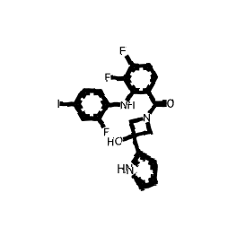 O=C(c1ccc(F)c(F)c1Nc1ccc(I)cc1F)N1CC(O)(c2ccc[nH]2)C1